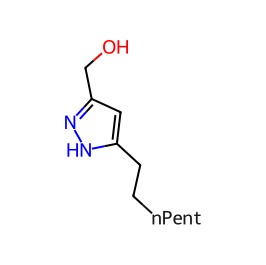 CCCCCCCc1cc(CO)n[nH]1